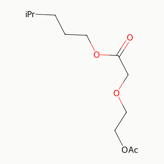 CC(=O)OCCOCC(=O)OCCCC(C)C